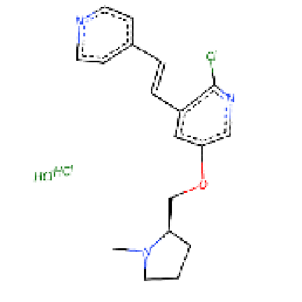 CN1CCC[C@@H]1COc1cnc(Cl)c(/C=C/c2ccncc2)c1.Cl.Cl